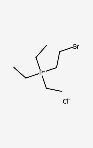 CC[P+](CC)(CC)CCBr.[Cl-]